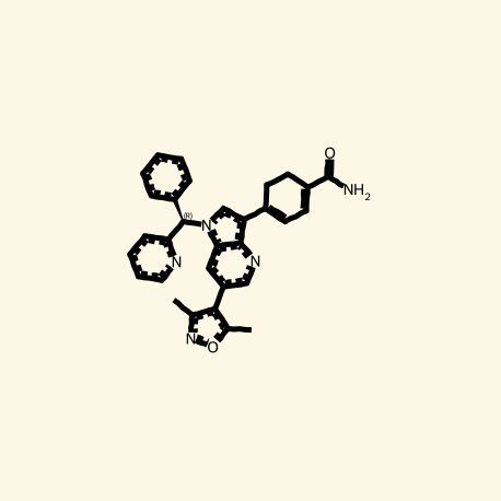 Cc1noc(C)c1-c1cnc2c(C3=CC=C(C(N)=O)CC3)cn([C@H](c3ccccc3)c3ccccn3)c2c1